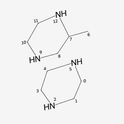 C1CNCCN1.CC1CNCCN1